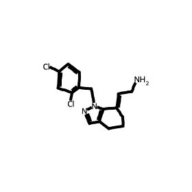 NC/C=C1\CCCc2cnn(Cc3ccc(Cl)cc3Cl)c21